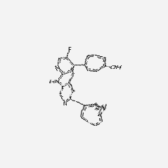 Oc1ccc(-c2c(F)cnc3[nH]c4cnc(-c5cccnc5)cc4c23)cc1